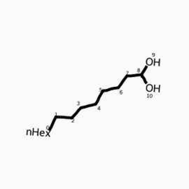 CCCCCCCCCCCCC[C](O)O